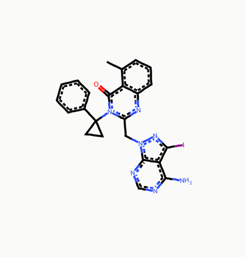 Cc1cccc2nc(Cn3nc(I)c4c(N)ncnc43)n(C3(c4ccccc4)CC3)c(=O)c12